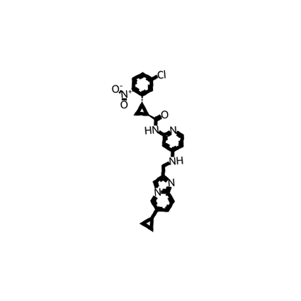 O=C(Nc1cc(NCc2cn3cc(C4CC4)ccc3n2)ccn1)[C@H]1C[C@@H]1c1cc(Cl)ccc1[N+](=O)[O-]